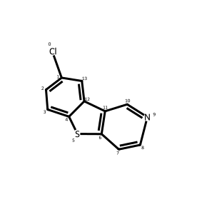 Clc1ccc2sc3ccncc3c2c1